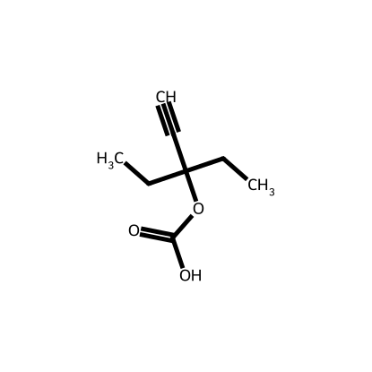 C#CC(CC)(CC)OC(=O)O